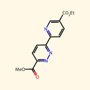 CCOC(=O)c1ccc(-c2ccc(C(=O)OC)nn2)nc1